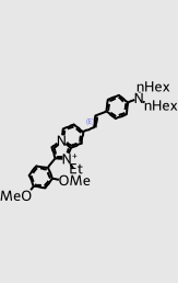 CCCCCCN(CCCCCC)c1ccc(/C=C/c2ccn3cc(-c4ccc(OC)cc4OC)[n+](CC)c3c2)cc1